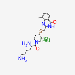 Cc1cccc2c(=O)[nH]c(CSC3CCN(C(=O)[C@H](N)CCCCN)CC3)nc12.Cl.Cl